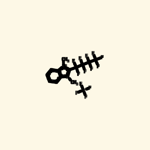 Cn1c(C(F)(F)C(F)(F)C(F)(F)C(F)(F)F)[n+](C)c2ccccc21.F[B-](F)(F)F